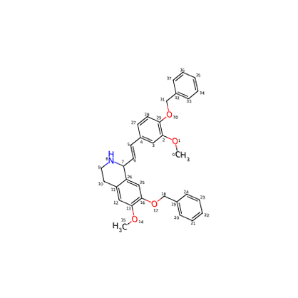 COc1cc(C=CC2NCCc3cc(OC)c(OCc4ccccc4)cc32)ccc1OCc1ccccc1